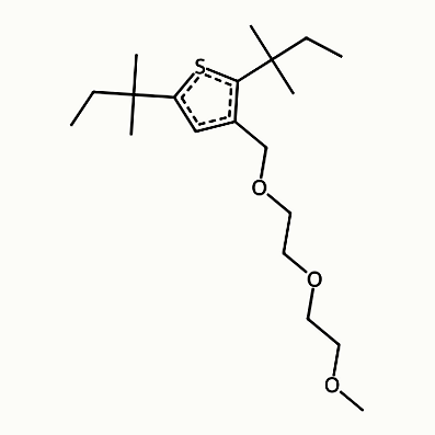 CCC(C)(C)c1cc(COCCOCCOC)c(C(C)(C)CC)s1